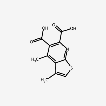 Cc1csc2nc(C(=O)O)c(C(=O)O)c(C)c12